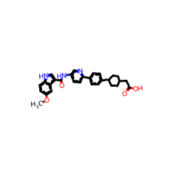 COc1ccc2[nH]cc(C(=O)Nc3ccc(-c4ccc(C5CCC(CC(=O)O)CC5)cc4)nc3)c2c1